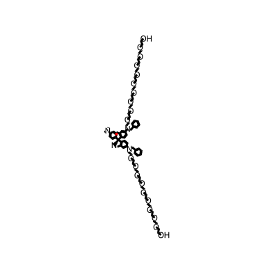 Cc1cc(N(CCOCCOCCOCCOCCOCCOCCOCCOCCOCCO)Cc2ccccc2)ccc1C(C#N)(c1ccc(N(C)C)cc1)c1ccc(N(CCOCCOCCOCCOCCOCCOCCOCCOCCOCCO)Cc2ccccc2)cc1C